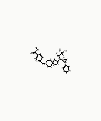 COC(=O)c1ccc(CN2CCC3(CC2)CC(N(C(=O)C(F)(F)F)[C@@H]2C[C@H]2c2ccccc2)CO3)nc1